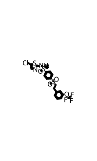 O=S(=O)(CCc1cccc(OC(F)(F)F)c1)c1ccc(S(=O)(=O)Nc2ncc(Cl)s2)cc1